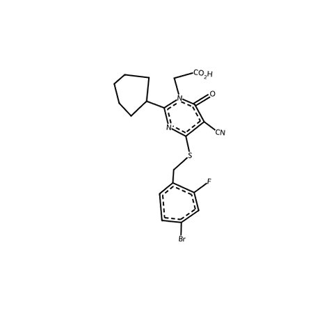 N#Cc1c(SCc2ccc(Br)cc2F)nc(C2CCCCC2)n(CC(=O)O)c1=O